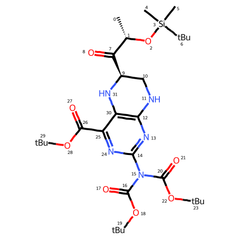 C[C@H](O[Si](C)(C)C(C)(C)C)C(=O)[C@H]1CNc2nc(N(C(=O)OC(C)(C)C)C(=O)OC(C)(C)C)nc(C(=O)OC(C)(C)C)c2N1